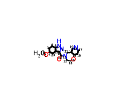 COc1ccc2[nH]nc(C(=O)N3CCOc4ccncc4C3)c2c1